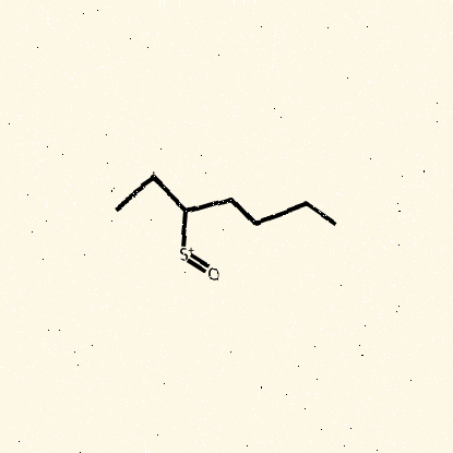 C[CH]C(CCCC)[S+]=O